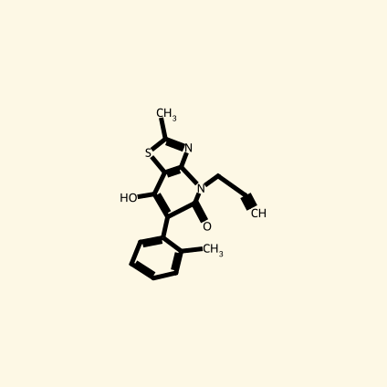 C#CCn1c(=O)c(-c2ccccc2C)c(O)c2sc(C)nc21